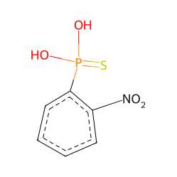 O=[N+]([O-])c1ccccc1P(O)(O)=S